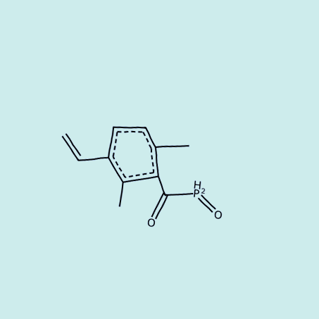 C=Cc1ccc(C)c(C(=O)[PH2]=O)c1C